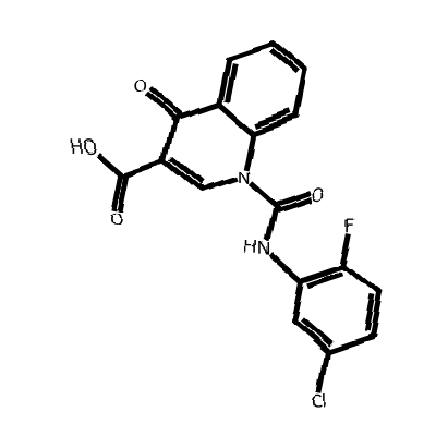 O=C(O)c1cn(C(=O)Nc2cc(Cl)ccc2F)c2ccccc2c1=O